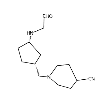 N#CC1CCN(C[C@@H]2CC[C@H](NC[C]=O)C2)CC1